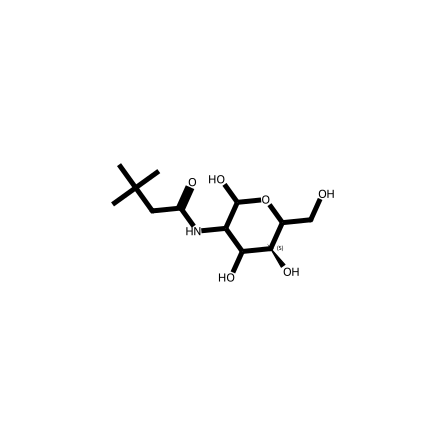 CC(C)(C)CC(=O)NC1C(O)OC(CO)[C@@H](O)C1O